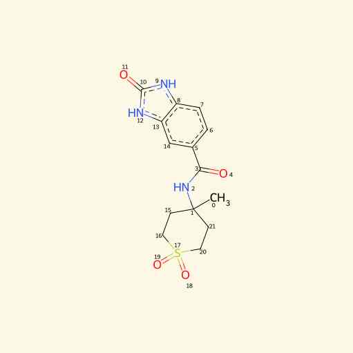 CC1(NC(=O)c2ccc3[nH]c(=O)[nH]c3c2)CCS(=O)(=O)CC1